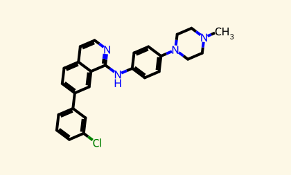 CN1CCN(c2ccc(Nc3nccc4ccc(-c5cccc(Cl)c5)cc34)cc2)CC1